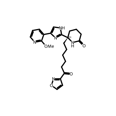 COc1ncccc1-c1c[nH]c([C@]2(CCCCCC(=O)c3ccon3)CCCC(=O)N2)n1